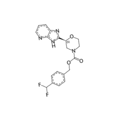 O=C(OCc1ccc(C(F)F)cc1)N1CCO[C@H](c2nc3cccnc3[nH]2)C1